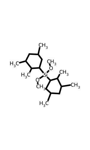 CO[Si](OC)(C1CC(C)CC(C)C1C)C1CC(C)CC(C)C1C